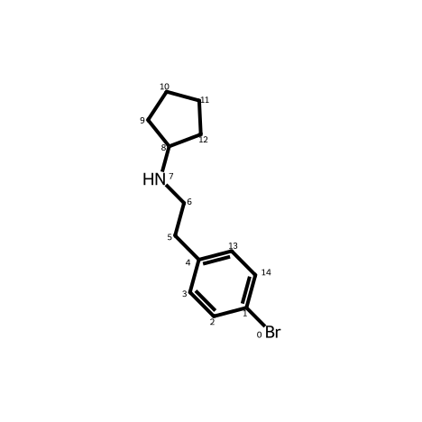 Brc1ccc(CCNC2CCCC2)cc1